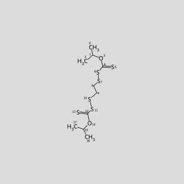 CC(C)OC(=S)SSCCSSC(=S)OC(C)C